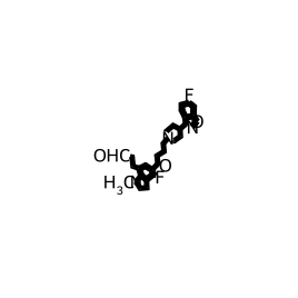 CN1CCc2c(F)c(C(=O)CCCN3CCC(c4noc5cc(F)ccc45)CC3)cc(CCC=O)c21